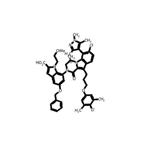 COCCn1c(C(=O)O)cc2cc(OCc3ccccc3)cc(N3C[C@@H](C)n4c(c(CCCOc5cc(C)c(Cl)c(C)c5)c5ccc(Cl)c(-c6c(C)nn(C)c6C)c54)C3=O)c21